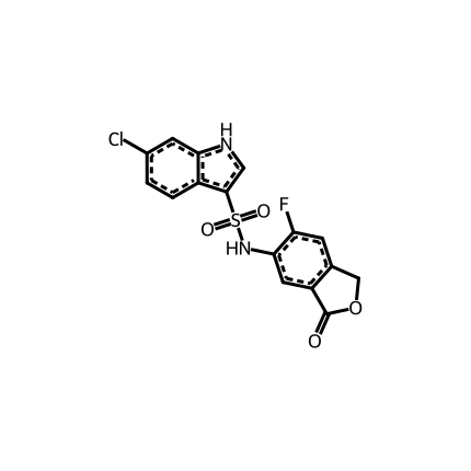 O=C1OCc2cc(F)c(NS(=O)(=O)c3c[nH]c4cc(Cl)ccc34)cc21